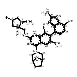 CN1C[C@H](F)C[C@]1(C)COc1nc(N2CC3CCC(C2)N3)c2cc(C(F)(F)F)c(-c3ccc(F)c4sc(N)nc34)c(F)c2n1